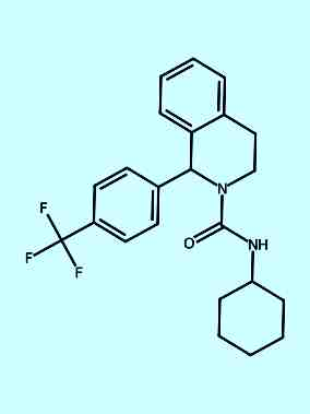 O=C(NC1CCCCC1)N1CCc2ccccc2C1c1ccc(C(F)(F)F)cc1